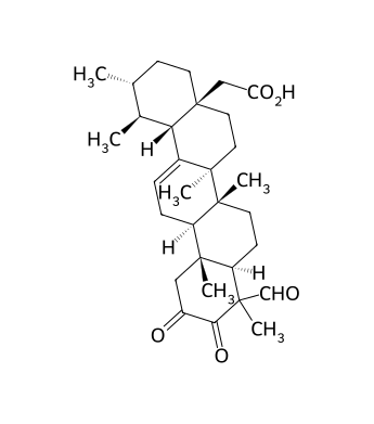 C[C@H]1[C@H](C)CC[C@]2(CC(=O)O)CC[C@]3(C)C(=CC[C@@H]4[C@@]5(C)CC(=O)C(=O)C(C)(C=O)[C@@H]5CC[C@]43C)[C@H]12